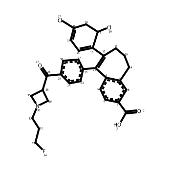 O=C(O)c1ccc2c(c1)CCCC(C1=CC=C(Cl)CC1Cl)=C2c1ccc(C(=O)C2CN(CCCF)C2)cc1